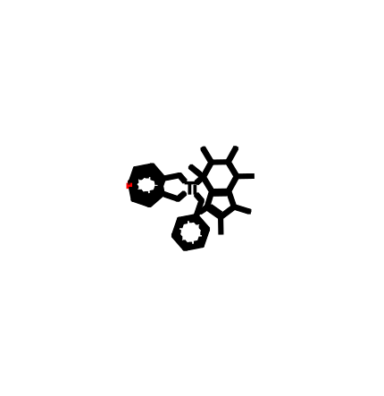 CC1=C(C)C(C)C2=C1[C](C)([Ti]([CH2]c1ccccc1)([CH2]c1ccccc1)[CH2]c1ccccc1)C(C)C(C)C2C